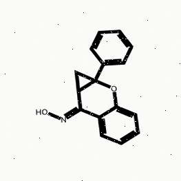 ON=C1c2ccccc2OC2(c3ccccc3)CC12